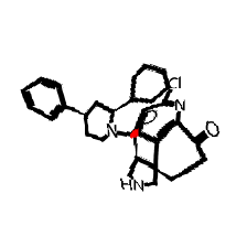 O=C1CC[C@]2(CNC[C@H]2C(=O)N2CC[C@@H](c3ccccc3)C[C@H]2C2CCCCC2)c2ccc(Cl)nc21